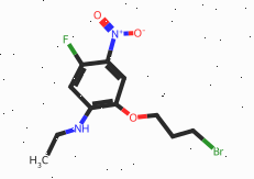 CCNc1cc(F)c([N+](=O)[O-])cc1OCCCBr